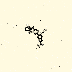 COCOc1cc2cc(C(=O)N(C)C)oc2cc1-c1ncc(N(C)[C@H]2C[C@@H]3CC[C@@H](N3)[C@H]2F)nn1